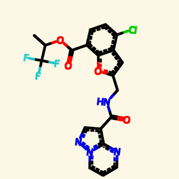 CC(OC(=O)c1ccc(Cl)c2cc(CNC(=O)c3cnn4cccnc34)oc12)C(F)(F)F